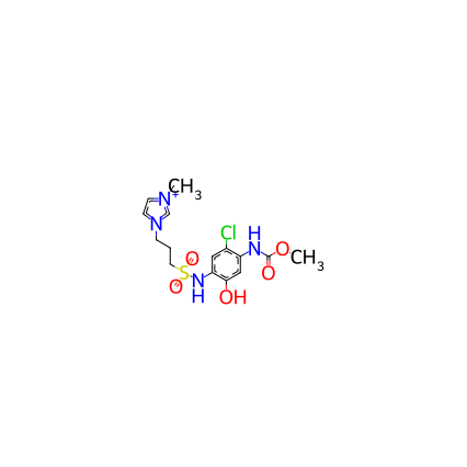 COC(=O)Nc1cc(O)c(NS(=O)(=O)CCCn2cc[n+](C)c2)cc1Cl